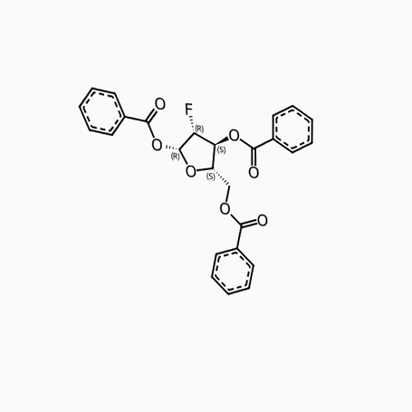 O=C(OC[C@@H]1O[C@H](OC(=O)c2ccccc2)[C@H](F)[C@H]1OC(=O)c1ccccc1)c1ccccc1